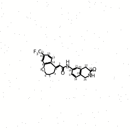 O=C(/C=C1\CCCOc2cc(C(F)(F)F)ccc21)Nc1ccc2c(c1)CC(=O)NC2